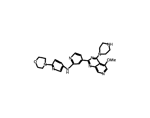 COc1cncc2nc(-c3ccnc(Nc4ccc(N5CCOCC5)nc4)c3)nc(N3CCNCC3)c12